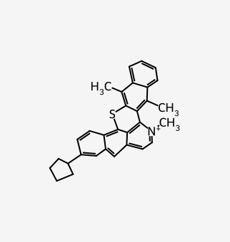 Cc1c2c(c(C)c3ccccc13)-c1c3c(c4ccc(C5CCCC5)cc4cc3cc[n+]1C)S2